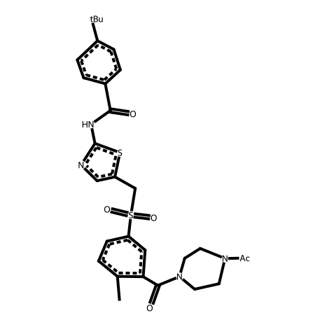 CC(=O)N1CCN(C(=O)c2cc(S(=O)(=O)Cc3cnc(NC(=O)c4ccc(C(C)(C)C)cc4)s3)ccc2C)CC1